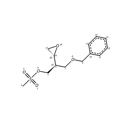 CS(=O)(=O)OC[C@H](COCc1ccccc1)[C@@H]1CO1